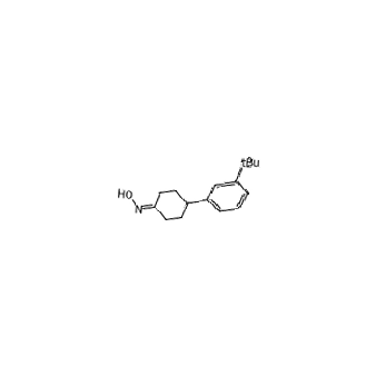 CC(C)(C)c1cccc([C]2CCC(=NO)CC2)c1